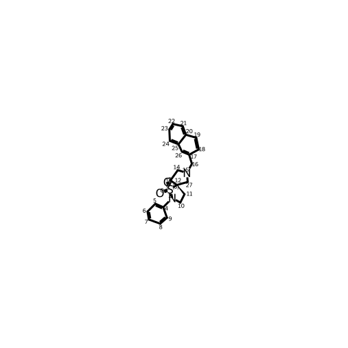 O=S1(=O)N(c2ccccc2)CC[C@]12CCN(Cc1ccc3ccccc3c1)C2